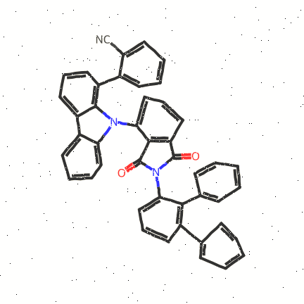 N#Cc1ccccc1-c1cccc2c3ccccc3n(-c3cccc4c3C(=O)N(c3cccc(-c5ccccc5)c3-c3ccccc3)C4=O)c12